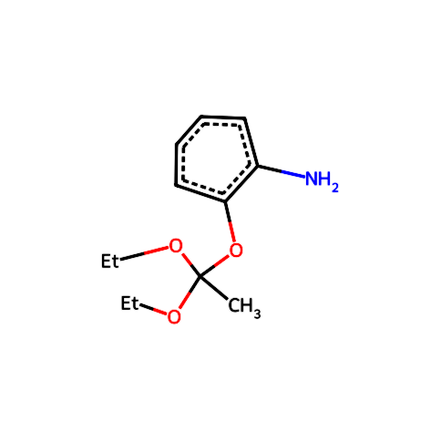 CCOC(C)(OCC)Oc1ccccc1N